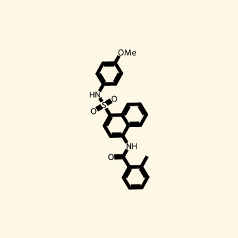 COc1ccc(NS(=O)(=O)c2ccc(NC(=O)c3ccccc3C)c3ccccc23)cc1